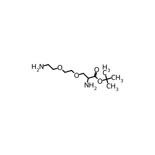 CC(C)(C)OC(=O)C(N)COCCOCCN